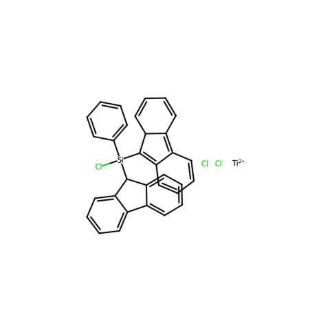 Cl[Si](C1=c2ccccc2=C2C=CC=CC21)(c1ccccc1)C1c2ccccc2-c2ccccc21.[Cl-].[Cl-].[Ti+2]